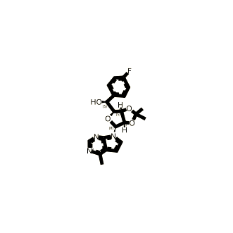 Cc1ncnc2c1ccn2[C@@H]1O[C@@H]([C@@H](O)c2ccc(F)cc2)[C@H]2OC(C)(C)O[C@H]21